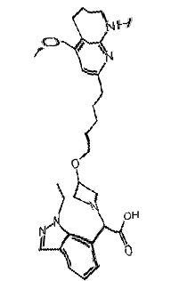 CCn1ncc2cccc(C(C(=O)O)N3CC(OCCCCCc4cc(OC)c5c(n4)NCCC5)C3)c21